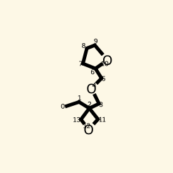 CCC1(COCC2CCCO2)COC1